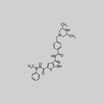 CC1CN(Cc2ccc(C(=O)Nc3n[nH]c4sc(C(=O)NN(C)c5ccccc5)cc34)cc2)CC(C)N1